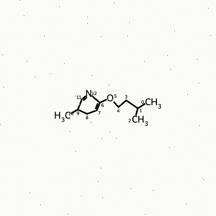 CC(C)CCOC1=CCC(C)C=N1